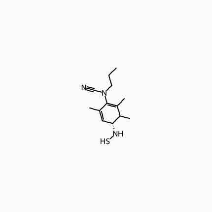 CCCN(C#N)C1=C(C)C(C)[C@H](NS)C=C1C